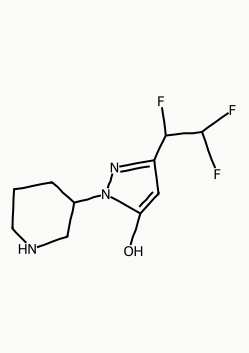 Oc1cc(C(F)C(F)F)nn1C1CCCNC1